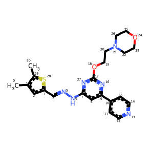 Cc1cc(C=NNc2cc(-c3ccncc3)nc(OCCN3CCOCC3)n2)sc1C